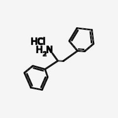 Cl.NC(Cc1ccccc1)c1ccccc1